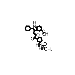 CNC(=O)Nc1ccc2c(c1)C(=O)/C(=C/c1c(C3CCCCC3)[nH]c3ccc(OC)cc13)O2